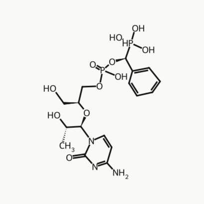 C[C@H](O)[C@@H](O[C@@H](CO)COP(=O)(O)O[C@H](c1ccccc1)[PH](O)(O)O)n1ccc(N)nc1=O